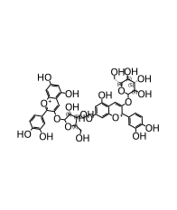 OC[C@H]1OC(Oc2cc3c(O)cc(O)cc3[o+]c2-c2ccc(O)c(O)c2)[C@H](O)[C@@H](O)[C@@H]1O.OC[C@H]1OC(Oc2cc3c(O)cc(O)cc3[o+]c2-c2ccc(O)c(O)c2)[C@H](O)[C@H]1O